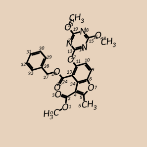 COC(=O)c1c(C)oc2ccc(Oc3nc(OC)nc(OC)n3)c(C(=O)OCc3ccccc3)c12